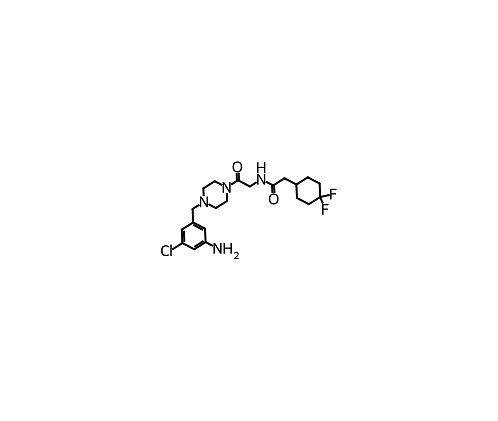 Nc1cc(Cl)cc(CN2CCN(C(=O)CNC(=O)CC3CCC(F)(F)CC3)CC2)c1